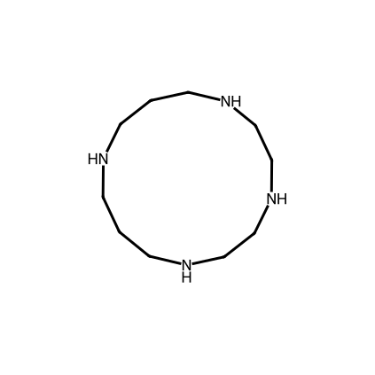 C1CNCCCNCCNCCNC1